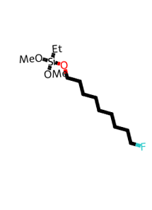 CC[Si](OC)(OC)OCCCCCCCCCF